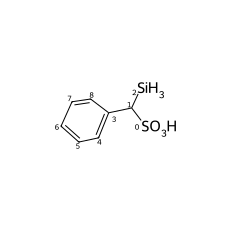 O=S(=O)(O)C([SiH3])c1ccccc1